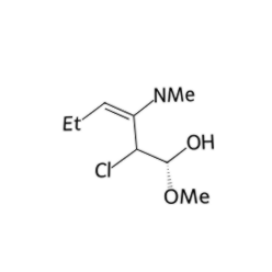 CCC=C(NC)C(Cl)[C@H](O)OC